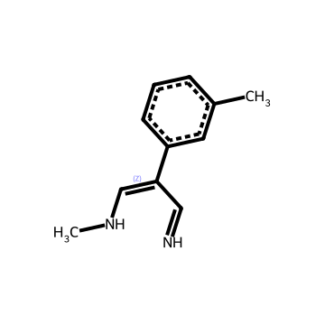 CN/C=C(\C=N)c1cccc(C)c1